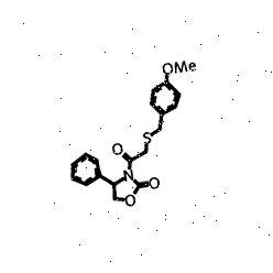 COc1ccc(CSCC(=O)N2C(=O)OCC2c2ccccc2)cc1